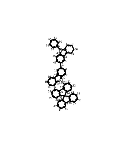 C1=Cc2c(c3cc(-c4ccc5c(c4)c4ccccc4n5-c4cccc5c4-c4ccccc4C54c5ccccc5-c5ccccc54)ccc3n2-c2ccccc2)CC1